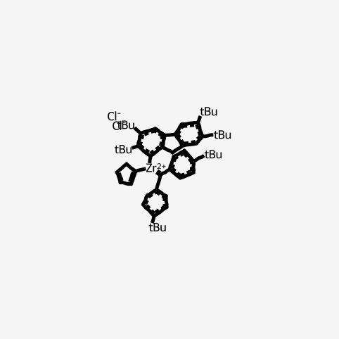 CC(C)(C)c1ccc([C](c2ccc(C(C)(C)C)cc2)=[Zr+2]([C]2=CC=CC2)[c]2c3c(cc(C(C)(C)C)c2C(C)(C)C)-c2cc(C(C)(C)C)c(C(C)(C)C)cc2C3)cc1.[Cl-].[Cl-]